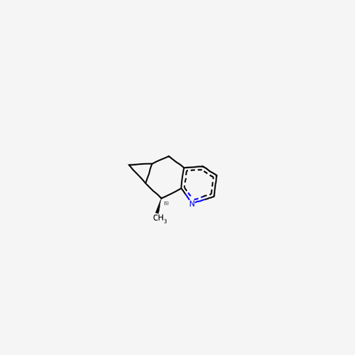 C[C@@H]1c2ncccc2CC2CC21